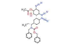 CC[C@H]([C@@H]1CCC(N=[N+]=[N-])[C@@H](C2C(N=[N+]=[N-])CC(N=[N+]=[N-])[C@H](OC(C)=O)[C@H]2O)C1)N(Cc1ccccc1)C(=O)OCc1ccccc1